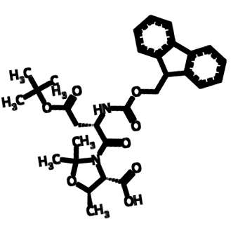 C[C@H]1OC(C)(C)N(C(=O)[C@H](CC(=O)OC(C)(C)C)NC(=O)OCC2c3ccccc3-c3ccccc32)[C@@H]1C(=O)O